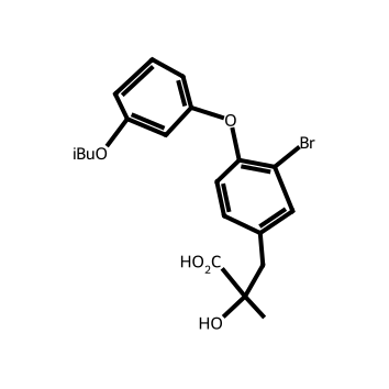 CC(C)COc1cccc(Oc2ccc(CC(C)(O)C(=O)O)cc2Br)c1